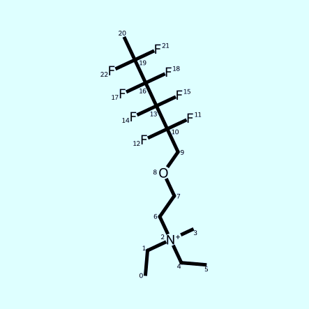 CC[N+](C)(CC)CCOCC(F)(F)C(F)(F)C(F)(F)C(C)(F)F